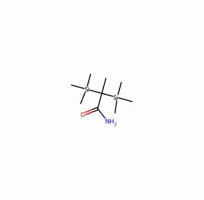 CC(C(N)=O)([Si](C)(C)C)[Si](C)(C)C